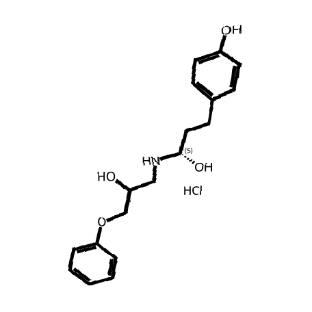 Cl.Oc1ccc(CC[C@H](O)NCC(O)COc2ccccc2)cc1